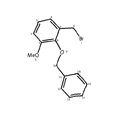 COc1cccc(CBr)c1OCc1ccccc1